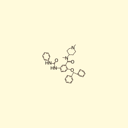 CN1CCC(N(C)C(=O)c2cc(NC(=O)Nc3ccccc3)ccc2OC(c2ccccc2)c2ccccc2)CC1